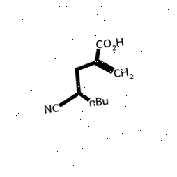 C=C(CC(C#N)CCCC)C(=O)O